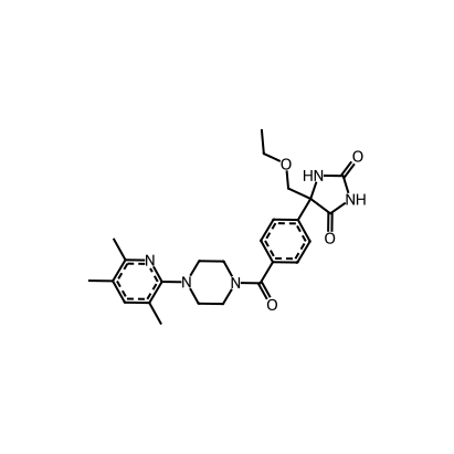 CCOCC1(c2ccc(C(=O)N3CCN(c4nc(C)c(C)cc4C)CC3)cc2)NC(=O)NC1=O